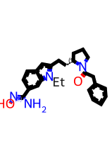 CCn1c(CC[C@@H]2CCCN2C(=O)Cc2ccccc2)cc2ccc(/C(N)=N/O)cc21